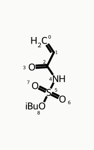 C=CC(=O)NS(=O)(=O)OCC(C)C